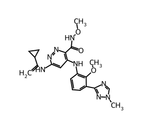 C=C(Nc1cc(Nc2cccc(-c3ncn(C)n3)c2OC)c(C(=O)NOC)nn1)C1CC1